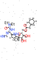 CCN(CC)C(=O)N/C(=N/C=N)c1ccc([C@]2(C#N)O[C@H](COC(=O)Cc3ccccc3)[C@@H](O)[C@H]2O)[nH]1